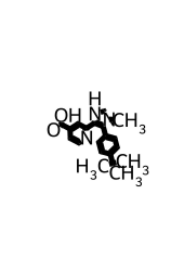 CN1CNC(c2cc(C(=O)O)ccn2)=C1c1ccc(C(C)(C)C)cc1